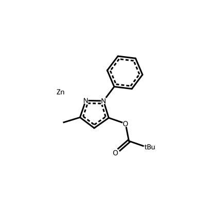 Cc1cc(OC(=O)C(C)(C)C)n(-c2ccccc2)n1.[Zn]